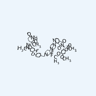 CCOc1cc([C@@H](CS(C)(=O)=O)N2C(=O)c3ccnc(N4CCN([C@@H]5CCN(Cc6ccc(Oc7cc8c(cc7F)c([C@@]7(C)CCC(=O)NC7=O)nn8C)cc6)CC5(F)F)CC4)c3C2=O)ccc1OC